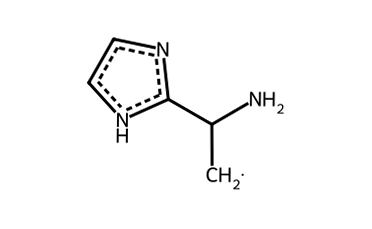 [CH2]C(N)c1ncc[nH]1